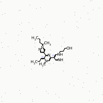 CC/C=C1/C(c2cnn([C@@H](C)CCC)c2)=NC(/C(C=N)=C/NCCCO)=CN1C